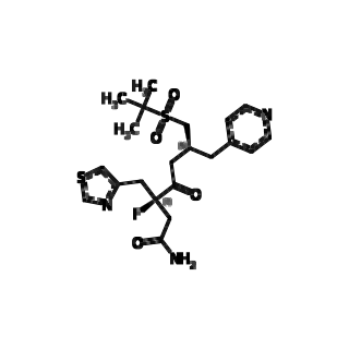 CC(C)(C)S(=O)(=O)C[C@H](CC(=O)[C@](F)(CC(N)=O)Cc1cscn1)Cc1ccncc1